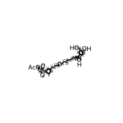 CC(=O)ON1CC(=O)N(c2cccc(CCCCOCCCCCCNC[C@H](O)c3ccc(O)c(CO)c3)c2)C1=O